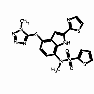 CN(c1ccc(Sc2nnnn2C)c2cc(-c3nccs3)[nH]c12)S(=O)(=O)c1cccs1